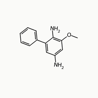 COc1cc(N)cc(-c2ccccc2)c1N